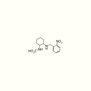 O=C(O)NC1CCCCC1NCc1ccccc1[N+](=O)[O-]